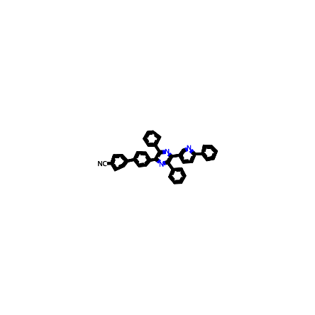 N#Cc1ccc(-c2ccc(-c3nc(-c4ccccc4)c(-c4ccc(-c5ccccc5)nc4)nc3-c3ccccc3)cc2)cc1